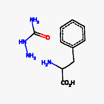 NC(Cc1ccccc1)C(=O)O.NNC(N)=O